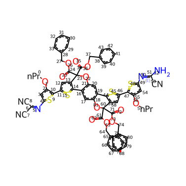 CCCOc1cc(N=C(C#N)C#N)sc1-c1cc2c(s1)-c1cc3c(cc1OC2(C(=O)OCc1ccccc1)C(=O)OCc1ccccc1)-c1sc(-c2sc(/N=C(/N)C#N)cc2OCCC)cc1C(C(=O)OCc1ccccc1)(C(=O)OCc1ccccc1)O3